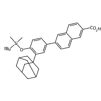 CC(C)(C)[Si](C)(C)Oc1ccc(-c2ccc3cc(C(=O)O)ccc3c2)cc1C12CC3CC(CC(C3)C1)C2